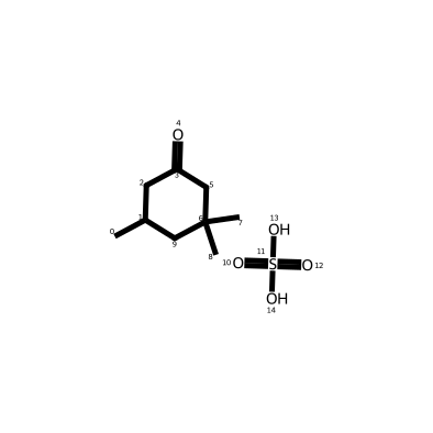 CC1CC(=O)CC(C)(C)C1.O=S(=O)(O)O